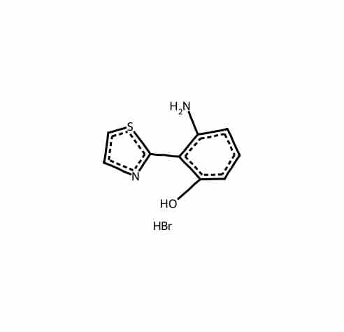 Br.Nc1cccc(O)c1-c1nccs1